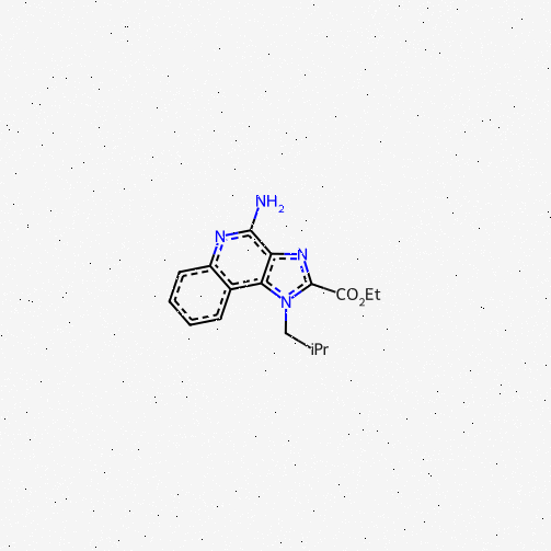 CCOC(=O)c1nc2c(N)nc3ccccc3c2n1CC(C)C